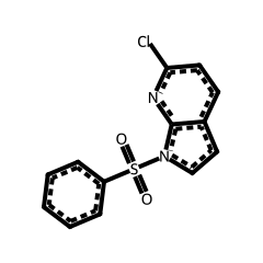 O=S(=O)(c1ccccc1)n1ccc2ccc(Cl)nc21